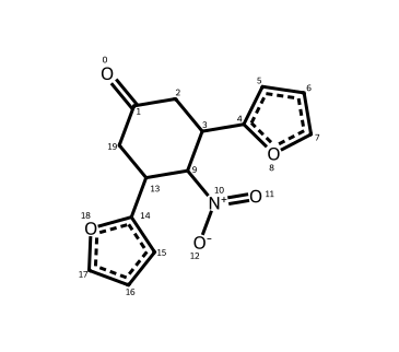 O=C1CC(c2ccco2)C([N+](=O)[O-])C(c2ccco2)C1